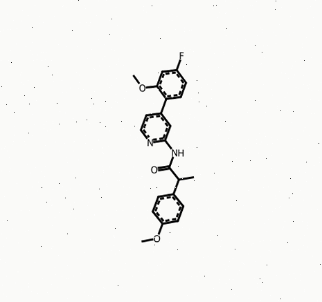 COc1ccc(C(C)C(=O)Nc2cc(-c3ccc(F)cc3OC)ccn2)cc1